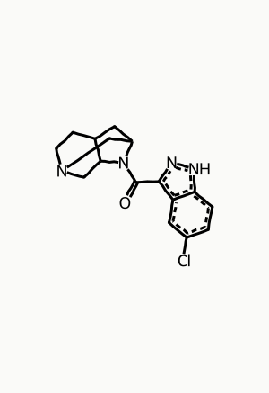 O=C(c1n[nH]c2ccc(Cl)cc12)N1C2CC3CCN(C2)CC31